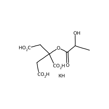 CC(O)C(=O)OC(CC(=O)O)(CC(=O)O)C(=O)O.[KH]